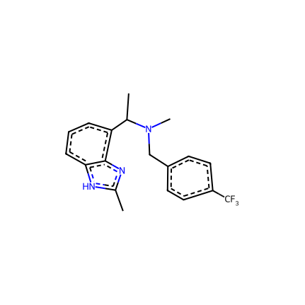 Cc1nc2c(C(C)N(C)Cc3ccc(C(F)(F)F)cc3)cccc2[nH]1